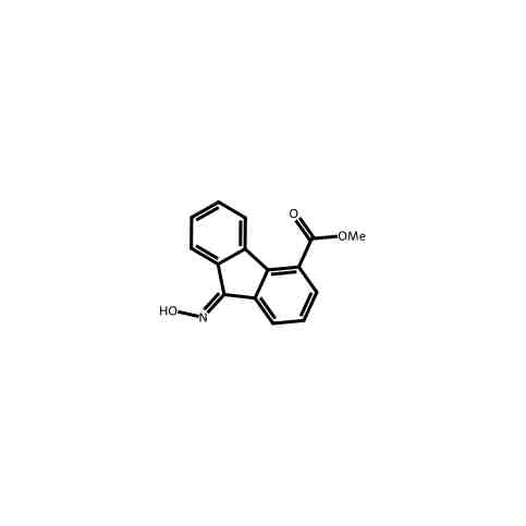 COC(=O)c1cccc2c1-c1ccccc1/C2=N\O